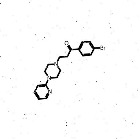 O=C(CCN1CCN(c2ccccn2)CC1)c1ccc(Br)cc1